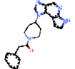 O=C(Cc1ccccc1)N1CCC(n2cnc3cnc4[nH]ccc4c32)CC1